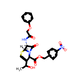 CC(O)C1=CS[C@H]2[C@H](NC(=O)COc3ccccc3)C(=O)N2C1C(=O)OCc1ccc([N+](=O)[O-])cc1